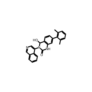 Cc1cccc(C)c1-c1ccc2c(c1)NC(=O)N(c1cncc3ccccc13)C2O